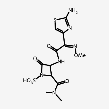 CON=C(C(=O)NC1C(=O)N(S(=O)(=O)O)C1C(=O)N(C)C)c1csc(N)n1